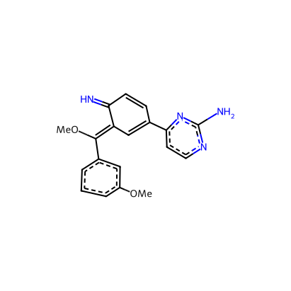 CO/C(=C1/C=C(c2ccnc(N)n2)C=CC1=N)c1cccc(OC)c1